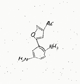 CC(=O)c1coc(-c2cc(N)ccc2N)c1